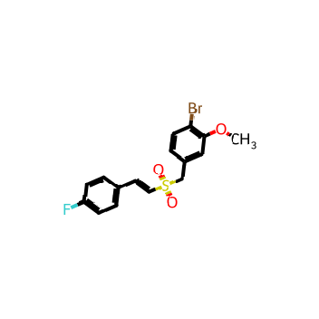 COc1cc(CS(=O)(=O)C=Cc2ccc(F)cc2)ccc1Br